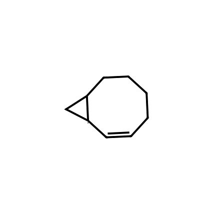 C1=C\[C]2CC2CCCC/1